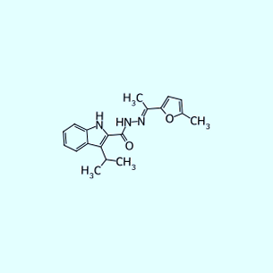 C/C(=N\NC(=O)c1[nH]c2ccccc2c1C(C)C)c1ccc(C)o1